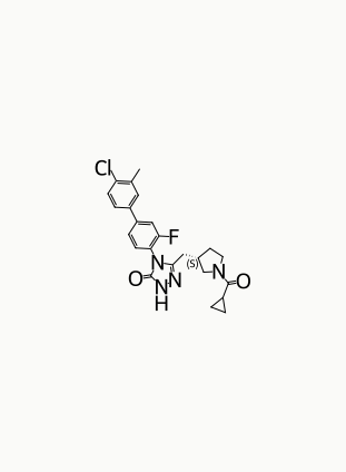 Cc1cc(-c2ccc(-n3c(C[C@@H]4CCN(C(=O)C5CC5)C4)n[nH]c3=O)c(F)c2)ccc1Cl